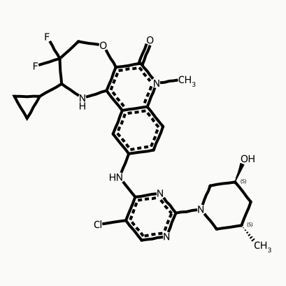 C[C@H]1C[C@H](O)CN(c2ncc(Cl)c(Nc3ccc4c(c3)c3c(c(=O)n4C)OCC(F)(F)C(C4CC4)N3)n2)C1